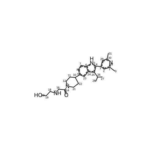 Cc1cc(-c2[nH]c3ccc(C4CCN(C(=O)CNCCO)CC4)cc3c2C(C)C)cc(C)n1